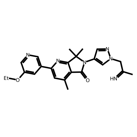 CCOc1cncc(-c2cc(C)c3c(n2)C(C)(C)N(c2cnn(CC(C)=N)c2)C3=O)c1